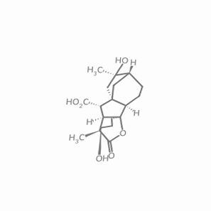 C[C@@]12C(=O)O[C@]3(CC[C@@H]1O)[C@@H]1CC[C@@H]4C[C@]1(C[C@@]4(C)O)[C@@H](C(=O)O)[C@@H]32